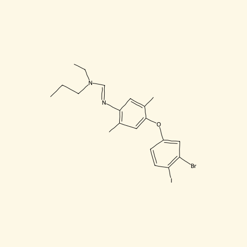 CCCN(C=Nc1cc(C)c(Oc2ccc(I)c(Br)c2)cc1C)CC